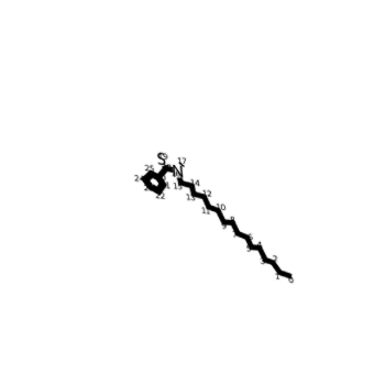 CCCCCCCCCCCCCCCCN(C)C(=S)c1ccccc1